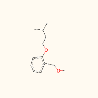 COCc1ccccc1OCCC(C)C